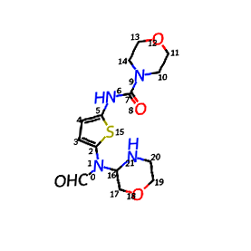 O=CN(c1ccc(NC(=O)N2CCOCC2)s1)C1COCCN1